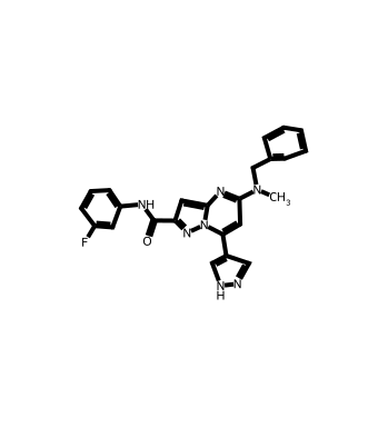 CN(Cc1ccccc1)c1cc(-c2cn[nH]c2)n2nc(C(=O)Nc3cccc(F)c3)cc2n1